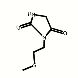 CSCCN1C(=O)CNC1=O